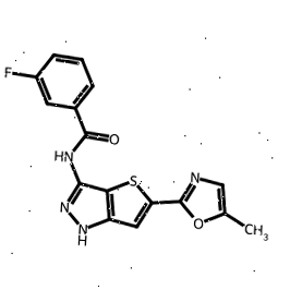 Cc1cnc(-c2cc3[nH]nc(NC(=O)c4cccc(F)c4)c3s2)o1